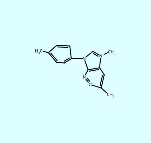 Cc1[c-]nc2c(c1)[n+](C)cn2-c1ccc(C)cc1